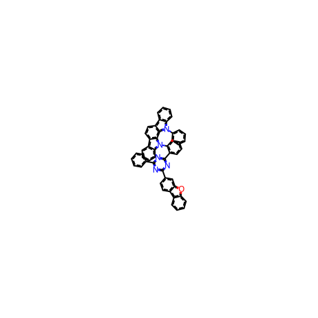 c1ccc(-c2nc(-c3ccc4c(c3)oc3ccccc34)nc(-c3ccccc3-n3c4ccccc4c4ccc5c6ccccc6n(-c6ccccc6)c5c43)n2)cc1